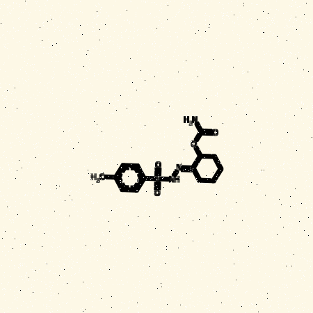 Cc1ccc(S(=O)(=O)NN=C2CCCCC2OC(N)=O)cc1